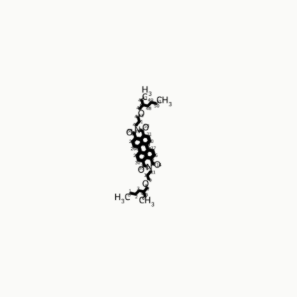 CCCCC(CC)COCCCN1C(=O)c2ccc3c4ccc5c6c(ccc(c7ccc(c2c37)C1=O)c64)C(=O)N(CCCOCC(CC)CCCC)C5=O